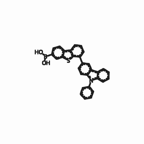 OB(O)c1ccc2c(c1)sc1c(-c3ccc4c(c3)c3ccccc3n4-c3ccccc3)cccc12